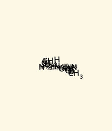 COC(=O)C(C#N)=Cc1ccc(CCNCCOc2ccc(C=C(C#N)C(=O)OC)cc2)cc1